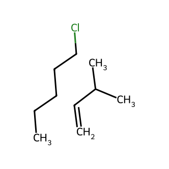 C=CC(C)C.CCCCCCl